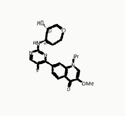 COc1cn(C(C)C)c2cc(-c3nc(N[C@@H]4CCOC[C@H]4O)ncc3F)ccc2c1=O